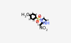 Cc1ccc(S(=O)(=O)N2CCNC2=C[N+](=O)[O-])cc1